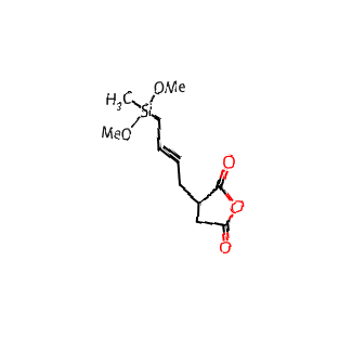 CO[Si](C)(C/C=C/CC1CC(=O)OC1=O)OC